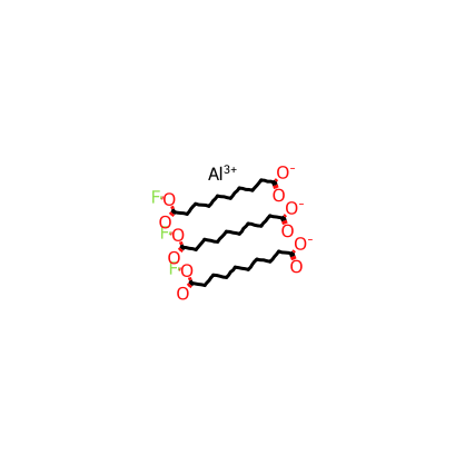 O=C([O-])CCCCCCCCC(=O)OF.O=C([O-])CCCCCCCCC(=O)OF.O=C([O-])CCCCCCCCC(=O)OF.[Al+3]